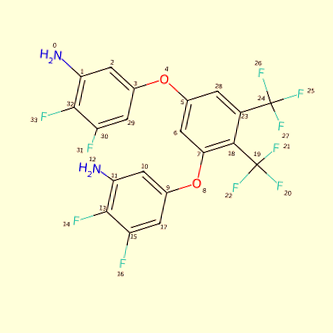 Nc1cc(Oc2cc(Oc3cc(N)c(F)c(F)c3)c(C(F)(F)F)c(C(F)(F)F)c2)cc(F)c1F